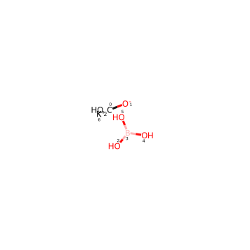 O=C([O-])O.OB(O)O.[K+]